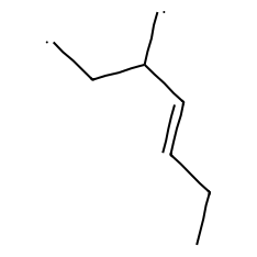 [CH2]CC([CH2])/C=C/CC